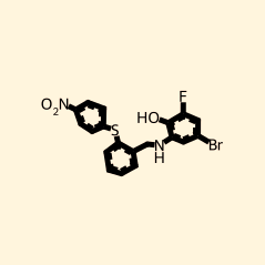 O=[N+]([O-])c1ccc(Sc2ccccc2CNc2cc(Br)cc(F)c2O)cc1